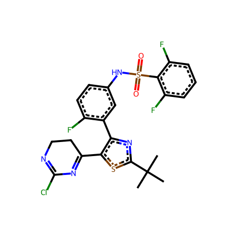 CC(C)(C)c1nc(-c2cc(NS(=O)(=O)c3c(F)cccc3F)ccc2F)c(C2=NC(Cl)=NCC2)s1